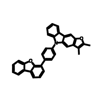 Cc1oc2cc3c4ccccc4n(-c4ccc(-c5cccc6c5oc5ccccc56)cc4)c3cc2c1C